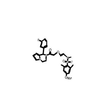 COc1cc(C)c(S(=O)(=O)N(C)CCOCC(=O)N2CCn3cccc3C2c2cccc(F)c2)c(C)c1